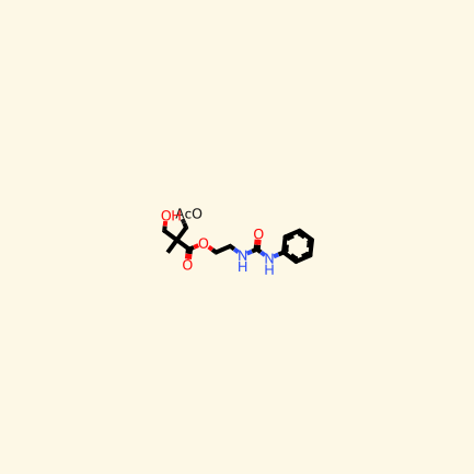 CC(=O)OCC(C)(CO)C(=O)OCCNC(=O)Nc1ccccc1